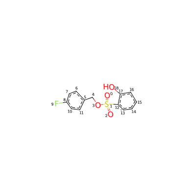 O=S(=O)(OCc1ccc(F)cc1)c1[c]cccc1O